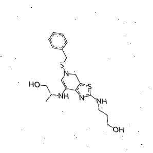 CC(CO)NC1=CN(SCc2ccccc2)Cc2sc(NCCCO)nc21